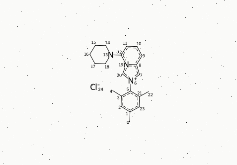 Cc1cc(C)c(-[n+]2cc3cccc(N4CCCCC4)n3c2)c(C)c1.[Cl-]